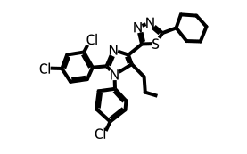 CCCc1c(-c2nnc(C3CCCCC3)s2)nc(-c2ccc(Cl)cc2Cl)n1-c1ccc(Cl)cc1